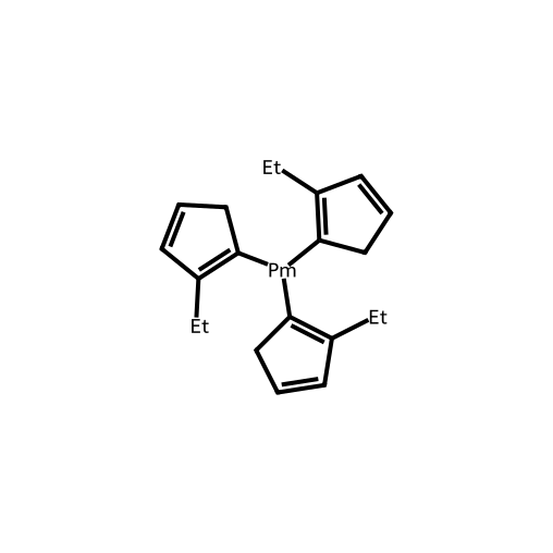 CCC1=[C]([Pm]([C]2=C(CC)C=CC2)[C]2=C(CC)C=CC2)CC=C1